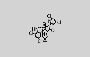 O=C1C2C3CC4(CC4)CN3C3(C(=O)CNc4c(Cl)cc(Cl)cc43)C2C(=O)N1c1cc(Cl)cc(Cl)n1